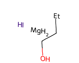 CCCCO.I.[MgH2]